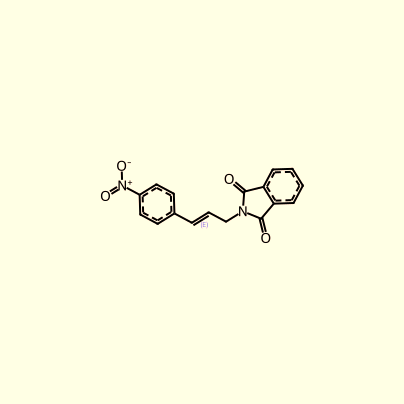 O=C1c2ccccc2C(=O)N1C/C=C/c1ccc([N+](=O)[O-])cc1